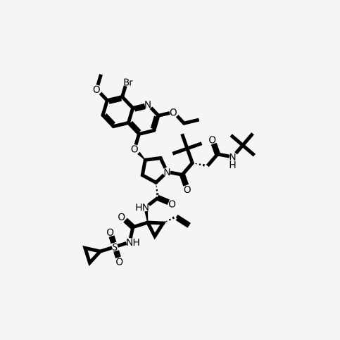 C=C[C@@H]1C[C@]1(NC(=O)[C@@H]1C[C@@H](Oc2cc(OCC)nc3c(Br)c(OC)ccc23)CN1C(=O)[C@@H](CC(=O)NC(C)(C)C)C(C)(C)C)C(=O)NS(=O)(=O)C1CC1